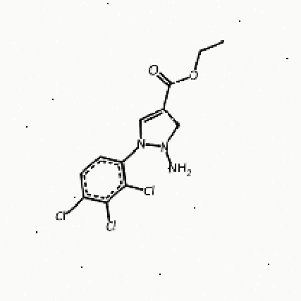 CCOC(=O)C1=CN(c2ccc(Cl)c(Cl)c2Cl)N(N)C1